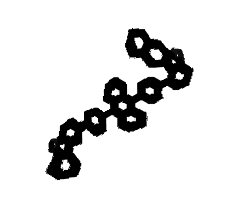 C1=CC2=Cc3oc4cccc(-c5ccc(-c6c7ccccc7c(-c7ccc(-c8ccc9oc%10ccccc%10c9c8)cc7)c7ccccc67)cc5)c4c3CC2C=C1